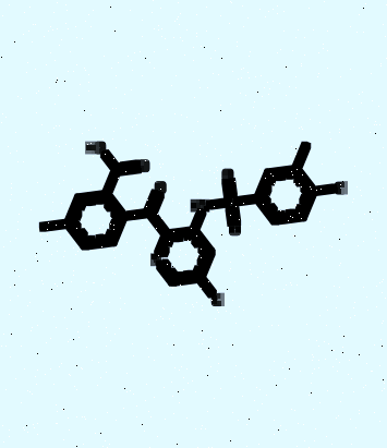 Cc1ccc(C(=O)c2ncc(Cl)cc2NS(=O)(=O)c2ccc(Cl)c(C)c2)c(C(=O)O)c1